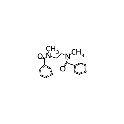 CN(CCN(C)C(=O)c1ccccc1)C(=O)c1ccccc1